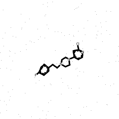 Fc1ccc(CCN2CCN(c3ccnc(Cl)c3)CC2)cc1